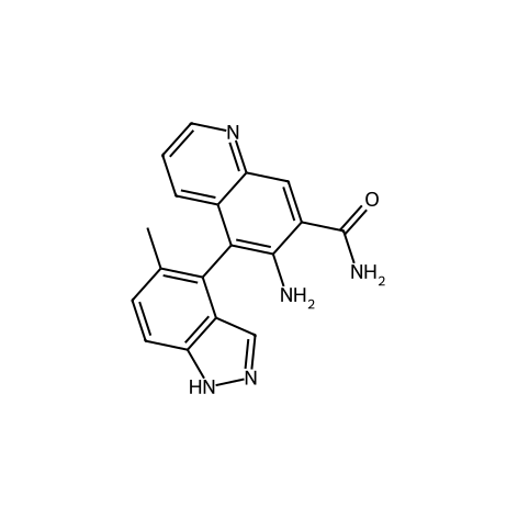 Cc1ccc2[nH]ncc2c1-c1c(N)c(C(N)=O)cc2ncccc12